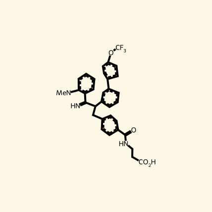 CNc1ccccc1C(=N)C(Cc1ccc(C(=O)NCCC(=O)O)cc1)c1cccc(-c2ccc(OC(F)(F)F)cc2)c1